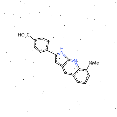 CNc1cccc2cc3cc(-c4ccc(C(=O)O)cc4)[nH]c3nc12